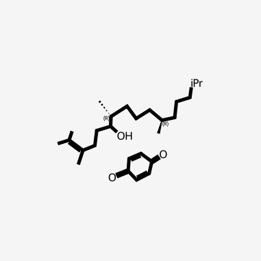 CC(C)=C(C)CCC(O)[C@H](C)CCC[C@H](C)CCCC(C)C.O=C1C=CC(=O)C=C1